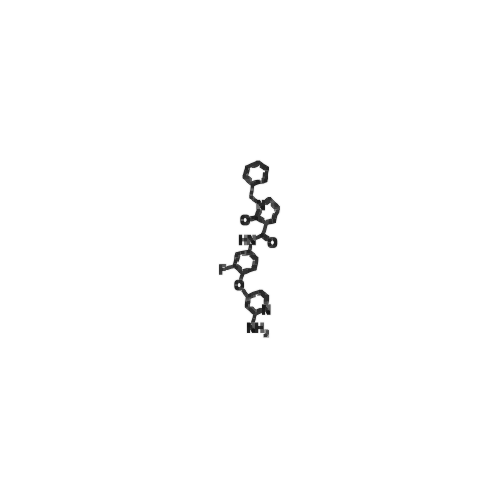 Nc1cc(Oc2ccc(NC(=O)c3cccn(Cc4ccccc4)c3=O)cc2F)ccn1